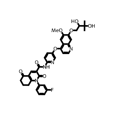 COc1cc2c(Oc3ccc(NC(=O)c4cc5c(n(-c6cccc(F)c6)c4=O)CCCC5=O)nc3)ccnc2cc1OCC(O)C(C)(C)O